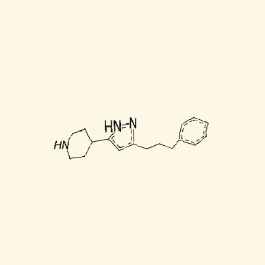 c1ccc(CCCc2cc(C3CCNCC3)[nH]n2)cc1